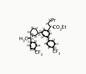 CCOC(=O)[C@@H](CC(C)C)c1cc(-c2ccc(C(F)(F)F)cc2)cc(C2CCCN(C(C)c3ccc(C(F)(F)F)cc3)C2)c1